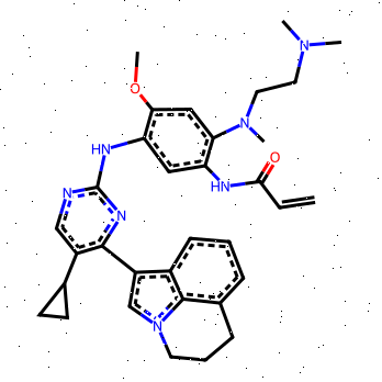 C=CC(=O)Nc1cc(Nc2ncc(C3CC3)c(-c3cn4c5c(cccc35)CCC4)n2)c(OC)cc1N(C)CCN(C)C